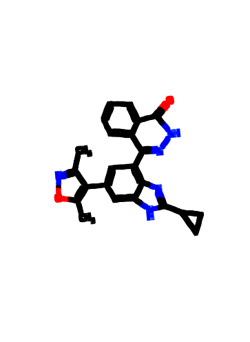 Cc1noc(C)c1-c1cc(-c2n[nH]c(=O)c3ccccc23)c2nc(C3CC3)[nH]c2c1